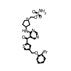 CC(C)c1ccccc1OCc1csc(C(=O)c2cncnc2NC2CC[C@@H](COS(N)(=O)=O)C2)c1